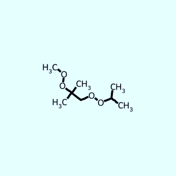 COOC(C)(C)COOC(C)C